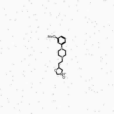 COc1cccc(N2CCN(CCC3C[NH+]([O-])CO3)CC2)c1